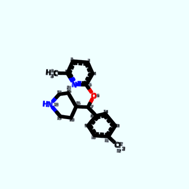 Cc1cccc(OC(c2ccc(C(F)(F)F)cc2)C2CCNCC2)n1